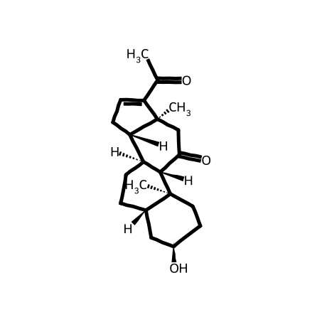 CC(=O)C1=CC[C@H]2[C@@H]3CC[C@H]4C[C@H](O)CC[C@]4(C)[C@H]3C(=O)C[C@]12C